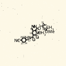 CON(C)SC1(COc2nncc3cc(C(=O)NCc4ccc(C#N)cc4)c(=O)n(C)c23)CC1